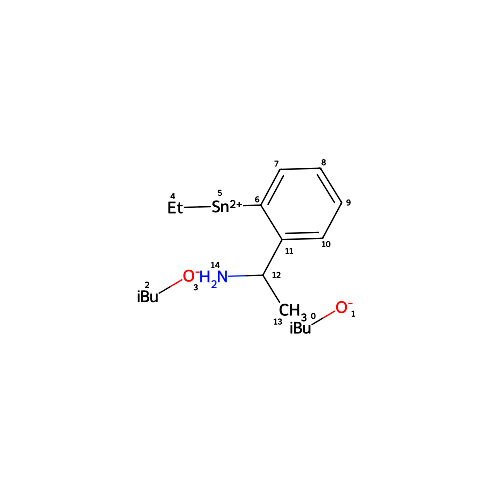 CCC(C)[O-].CCC(C)[O-].C[CH2][Sn+2][c]1ccccc1C(C)N